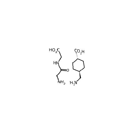 NCC(=O)NCC(=O)O.NC[C@H]1CC[C@H](C(=O)O)CC1